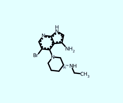 CCN[C@@H]1CCCN(c2c(Br)cnc3[nH]cc(N)c23)C1